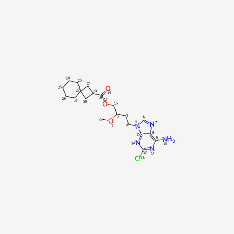 COC(CCn1cnc2c(N)nc(Cl)nc21)COC(=O)C1CC2(CCCCC2)C1